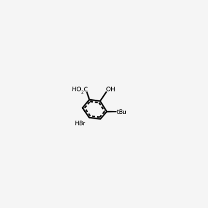 Br.CC(C)(C)c1cccc(C(=O)O)c1O